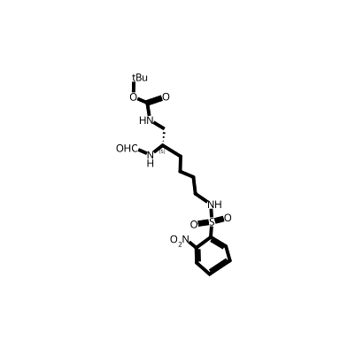 CC(C)(C)OC(=O)NC[C@H](CCCCNS(=O)(=O)c1ccccc1[N+](=O)[O-])NC=O